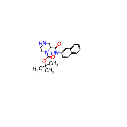 CC(C)(C)OC(=O)N1CCNCC1C(=O)Nc1ccc2ccccc2c1